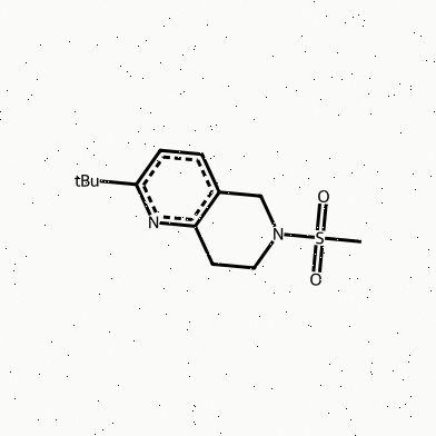 CC(C)(C)c1ccc2c(n1)CCN(S(C)(=O)=O)C2